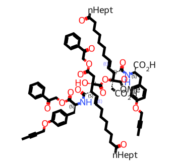 CC#CCOc1ccc(C[C@H](NC(=O)[C@@H](/C=C/CCCCCCC(=O)CCCCCCC)[C@](CC(=O)O)(OC(=O)[C@](O)(CC(=O)OCC(=O)c2ccccc2)[C@H](/C=C/CCCCCCC(=O)CCCCCCC)C(=O)N[C@@H](Cc2ccc(OCC#CC)cc2)C(=O)OCC(=O)c2ccccc2)C(=O)OC)C(=O)O)cc1